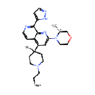 CSCCN1CCC(C#N)(c2cc(N3CCOC[C@H]3C)nc3c(-c4ccn[nH]4)nccc23)CC1